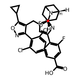 O=C(O)c1ccc(-c2csc(N3C4C[C@@H](OCc5c(-c6c(Cl)cccc6Cl)noc5C5CC5)C[C@H]3C4)n2)c(F)c1